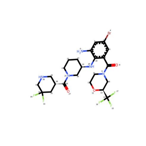 Nc1cc(Br)cc(C(=O)N2CCO[C@H](C(F)(F)F)C2)c1N[C@@H]1CCCN(C(=O)[C@H]2CNCC(F)(F)C2)C1